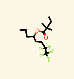 CCCC(CCC(F)(F)C(F)(F)F)OC(=O)C(C)(C)CC